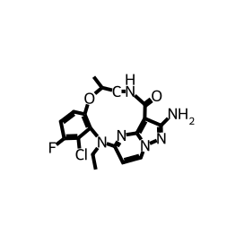 CCN1c2ccn3nc(N)c(c3n2)C(=O)NCC(C)Oc2ccc(F)c(Cl)c21